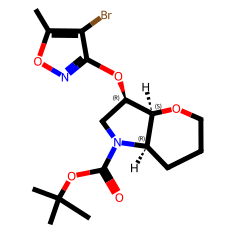 Cc1onc(O[C@@H]2CN(C(=O)OC(C)(C)C)[C@@H]3CCCO[C@@H]32)c1Br